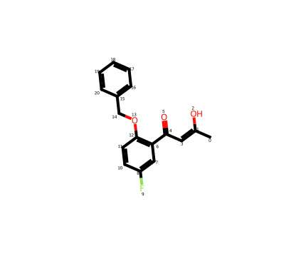 CC(O)=CC(=O)c1cc(F)ccc1OCc1ccccc1